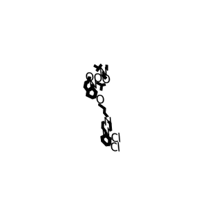 CCN(C(=O)OC(C(C)C)n1c(=O)ccc2ccc(OCCCCN3CCN(c4cccc(Cl)c4Cl)CC3)cc21)C(C)(C)C